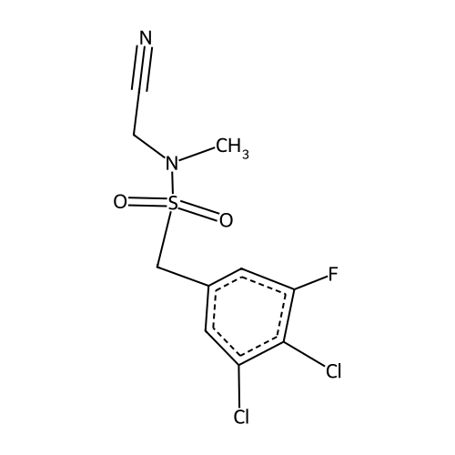 CN(CC#N)S(=O)(=O)Cc1cc(F)c(Cl)c(Cl)c1